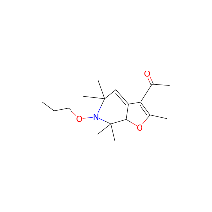 CCCON1C(C)(C)C=C2C(C(C)=O)=C(C)OC2C1(C)C